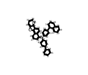 c1ccc(-c2ccc(N(c3ccc(-c4cccc5ccccc45)cc3)c3cccc4c3ccc3c5ncccc5oc43)cc2)cc1